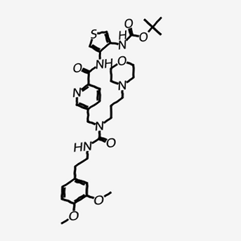 COc1ccc(CCNC(=O)N(CCCN2CCOCC2)Cc2ccc(C(=O)Nc3cscc3NC(=O)OC(C)(C)C)nc2)cc1OC